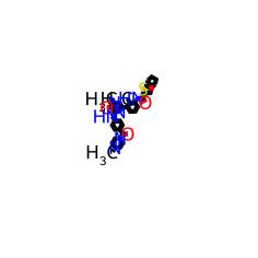 Cc1c(NC(=O)c2cc3c(s2)C2CCC3C2)cccc1-c1cn(C)c(=O)c(Nc2ccc(C(=O)N3CCN(C)CC3)cc2)n1